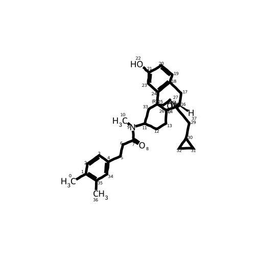 Cc1ccc(CCC(=O)N(C)C2CC[C@@]3(O)[C@H]4Cc5ccc(O)cc5[C@@]3(CCN4CC3CC3)C2)cc1C